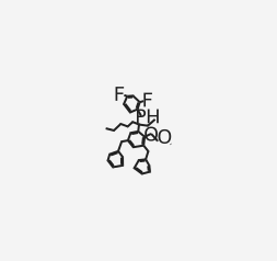 CCCCCC(CC)(Pc1ccc(F)cc1F)c1cc(Cc2ccccc2)cc(Cc2ccccc2)c1OCOC